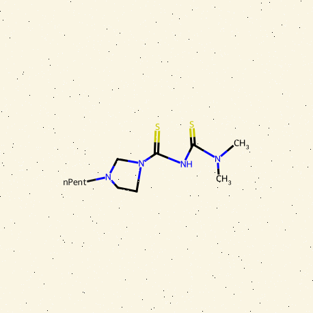 CCCCCN1CCN(C(=S)NC(=S)N(C)C)C1